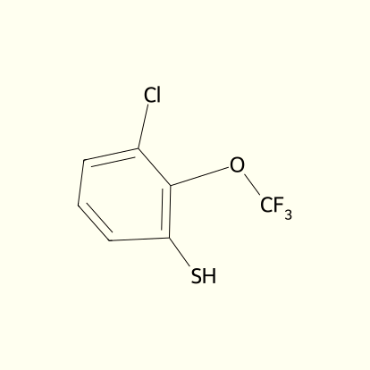 FC(F)(F)Oc1c(S)cccc1Cl